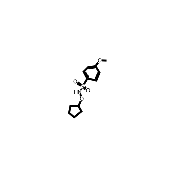 COc1ccc(S(=O)(=O)NOC2CCCC2)cc1